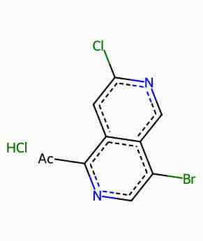 CC(=O)c1ncc(Br)c2cnc(Cl)cc12.Cl